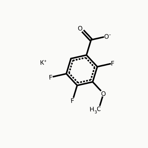 COc1c(F)c(F)cc(C(=O)[O-])c1F.[K+]